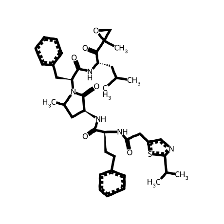 CC(C)C[C@H](NC(=O)[C@H](Cc1ccccc1)N1C(=O)[C@@H](NC(=O)[C@H](CCc2ccccc2)NC(=O)Cc2cnc(C(C)C)s2)CC1C)C(=O)C1(C)CO1